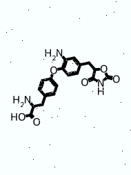 Nc1cc(CC2OC(=O)NC2=O)ccc1Oc1ccc(CC(N)C(=O)O)cc1